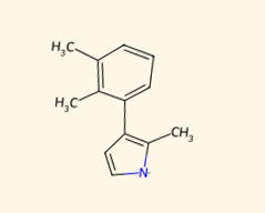 CC1=C(c2cccc(C)c2C)C=C[N]1